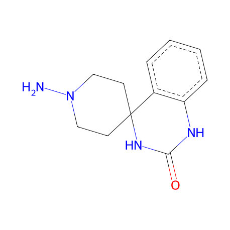 NN1CCC2(CC1)NC(=O)Nc1ccccc12